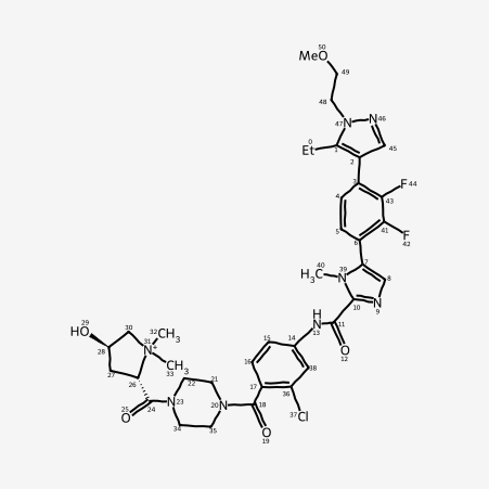 CCc1c(-c2ccc(-c3cnc(C(=O)Nc4ccc(C(=O)N5CCN(C(=O)[C@@H]6C[C@@H](O)C[N+]6(C)C)CC5)c(Cl)c4)n3C)c(F)c2F)cnn1CCOC